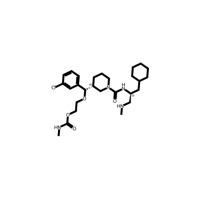 CNC[C@H](CC1CCCCC1)NC(=O)N1CCC[C@@H](C(OCCOC(=O)NC)c2cccc(Cl)c2)C1